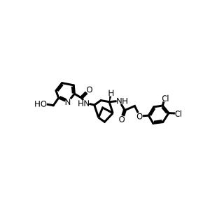 O=C(COc1ccc(Cl)c(Cl)c1)N[C@H]1CC(NC(=O)c2cccc(CO)n2)C2CC1C2